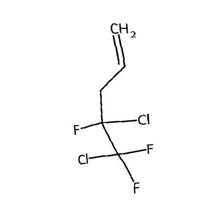 C=CCC(F)(Cl)C(F)(F)Cl